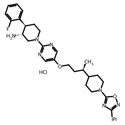 CC(C)c1noc(N2CCC([C@H](C)CCOc3cnc(N4CC[C@H](c5ccccc5F)[C@@H](N)C4)nc3)CC2)n1.Cl